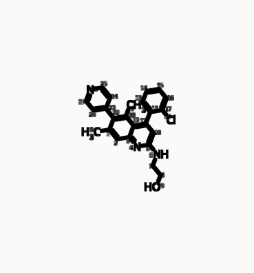 Cc1cc2nc(NCCO)cc(-c3ccccc3Cl)c2c(C)c1-c1ccncc1